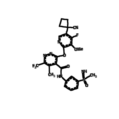 COc1c(Oc2nnc(C(F)(F)F)c(C)c2C(=O)Nc2cccc(S(C)(=N)=O)c2)ncc(C2(C#N)CCC2)c1F